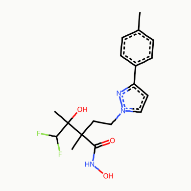 Cc1ccc(-c2ccn(CCC(C)(C(=O)NO)C(C)(O)C(F)F)n2)cc1